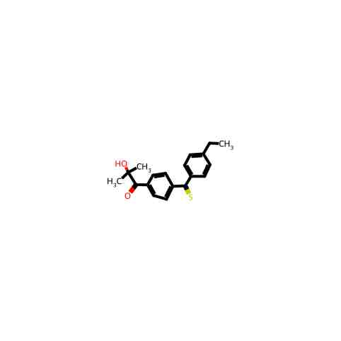 CCc1ccc(C(=S)c2ccc(C(=O)C(C)(C)O)cc2)cc1